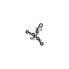 N#Cc1c(-c2ccc(OCc3ccccc3)cc2)n(Cc2ccc(OCCC3CCCCCN3)cc2)c2ccc(OCc3ccccc3)cc12